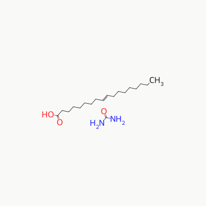 CCCCCCCCC=CCCCCCCCC(=O)O.NC(N)=O